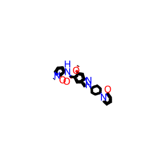 COc1cc2nn(C3CCC(n4ccccc4=O)CC3)cc2cc1C(=O)Nc1cccn(C)c1=O